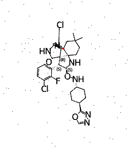 CC1(C)CCC2(CC1)N[C@@H](ON[C@H]1CC[C@H](c3nnco3)CC1)[C@H](c1cccc(Cl)c1F)[C@]21C(=O)Nc2cc(Cl)ncc21